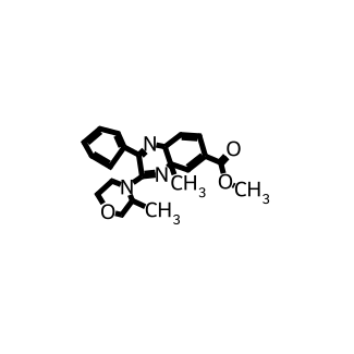 COC(=O)C1=CC2(C)N=C(N3CCOCC3C)C(c3ccccc3)=NC2C=C1